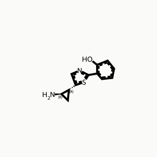 N[C@@H]1C[C@H]1c1cnc(-c2ccccc2O)s1